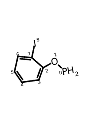 POc1ccccc1I